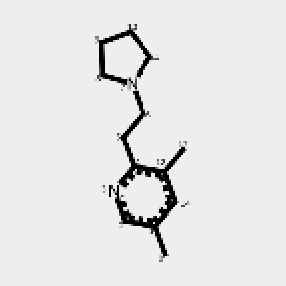 Cc1cnc(CCN2CCCC2)c(C)c1